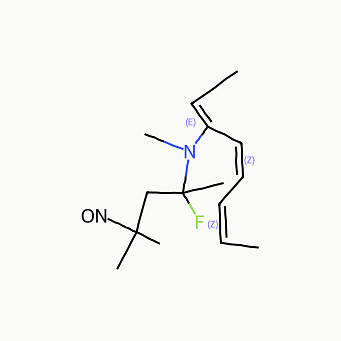 C\C=C/C=C\C(=C/C)N(C)C(C)(F)CC(C)(C)N=O